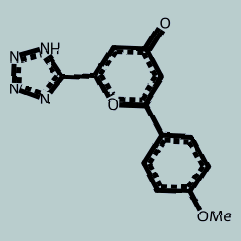 COc1ccc(-c2cc(=O)cc(-c3nnn[nH]3)o2)cc1